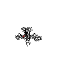 c1ccc2cc3c(cc2c1)c1ccccc1n3-c1cc2c(cc1-c1nc(-c3ccc4c(c3)oc3ccccc34)nc(-n3c4ccccc4c4ccccc43)n1)OCc1c-2ccc2ccccc12